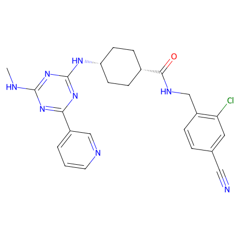 CNc1nc(N[C@H]2CC[C@@H](C(=O)NCc3ccc(C#N)cc3Cl)CC2)nc(-c2cccnc2)n1